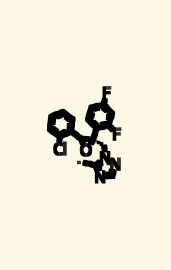 [CH2]c1ncnn1C[C@]1(c2ccc(F)cc2F)OC1c1ccccc1Cl